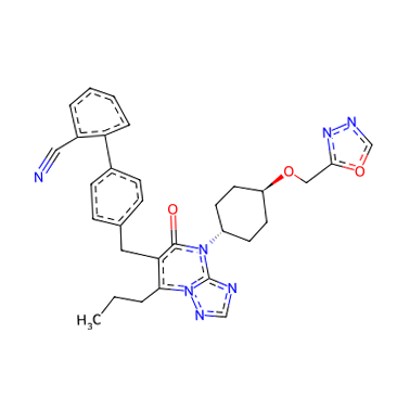 CCCc1c(Cc2ccc(-c3ccccc3C#N)cc2)c(=O)n([C@H]2CC[C@H](OCc3nnco3)CC2)c2ncnn12